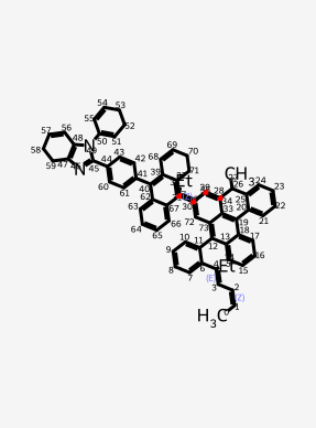 C/C=C\C=C(/CC)c1ccccc1-c1c2ccccc2c(-c2ccccc2C(C)CC/C=C\CC)c2ccc(-c3c4c(c(-c5ccc(-c6nc7c(n6C6=CCCC=C6)C=CCC7)cc5)c5ccccc35)C=CCC4)cc12